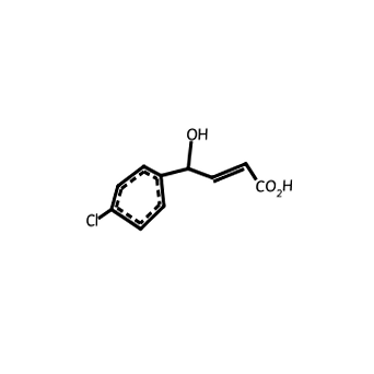 O=C(O)/C=C/C(O)c1ccc(Cl)cc1